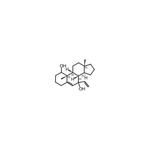 C=CC1(O)C=C2CCCC(O)[C@]2(C)[C@@H]2CC[C@]3(C)CCC[C@H]3[C@@H]21